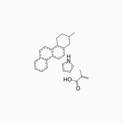 C=C(C)C(=O)O.CC1CCc2c(ccc3c2ccc2ccccc23)C1.c1cc[nH]c1